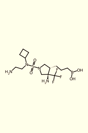 NCCN(C1CCC1)S(=O)(=O)N1C[C@H](CCCB(O)O)[C@](N)(C(F)(F)F)C1